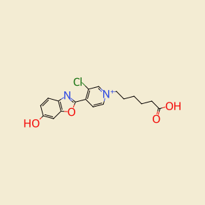 O=C(O)CCCCC[n+]1ccc(-c2nc3ccc(O)cc3o2)c(Cl)c1